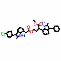 CCOC(=O)C(CCOC(=O)Cc1cccc2c(-c3ccc(Cl)cc3)c(C)[nH]c12)c1cccc2c(-c3ccccc3)c(C)[nH]c12